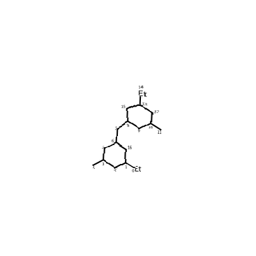 CCC1[CH]C(C)CC(CC2CC(C)[CH]C(CC)C2)C1